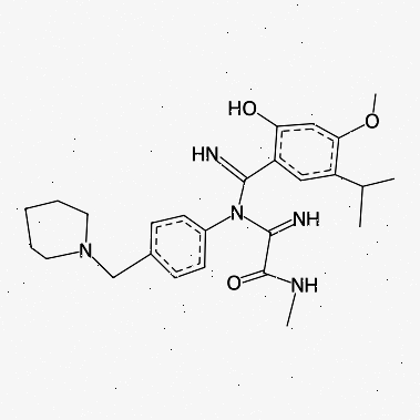 CNC(=O)C(=N)N(C(=N)c1cc(C(C)C)c(OC)cc1O)c1ccc(CN2CCCCC2)cc1